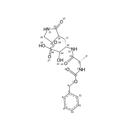 C[C@H](NC(=O)OCc1ccccc1)C(=O)N[C@@H](CC1CCNC1=O)C(O)S(=O)(=O)O